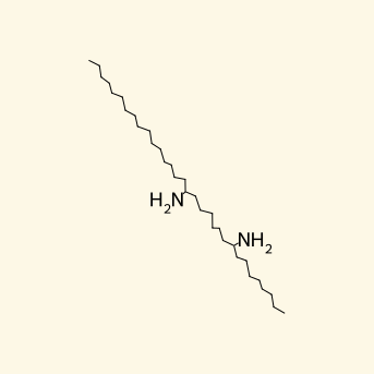 CCCCCCCCCCCCCCCCC(N)CCCCCCC(N)CCCCCCCC